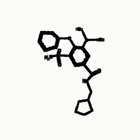 CCCCN(CCCC)c1cc(C(=O)NCC2CCCC2)cc(S(N)(=O)=O)c1Oc1ccccc1